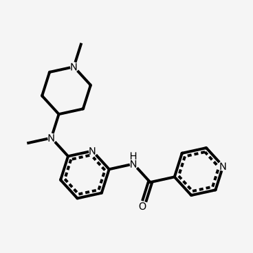 CN1CCC(N(C)c2cccc(NC(=O)c3ccncc3)n2)CC1